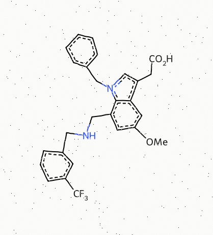 COc1cc(CNCc2cccc(C(F)(F)F)c2)c2c(c1)c(CC(=O)O)cn2Cc1ccccc1